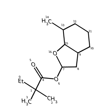 CCC(C)(C)C(=O)OC1CC2CCCC(C)C2O1